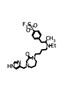 CCN(CCCCN1CCCN(Cc2c[nH]cn2)CC1=O)C(C)Cc1ccc(S(=O)(=O)C(F)(F)F)cc1